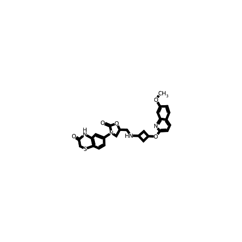 COc1ccc2ccc(OC3CC(NCC4CN(c5ccc6c(c5)NC(=O)CS6)C(=O)O4)C3)nc2c1